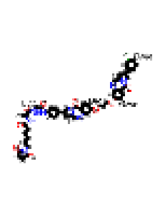 COc1ccc(C2=CN3C(=O)c4cc(OC)c(OCCCOc5cc6c(cc5OC)C(=O)N5C=C(c7ccc(NC(=O)C(C)NC(=O)C(NC(=O)CCCCCN8C(=O)C=CC8=O)C(C)C)cc7)C[C@H]5C=N6)cc4N=C[C@@H]3C2)cc1F